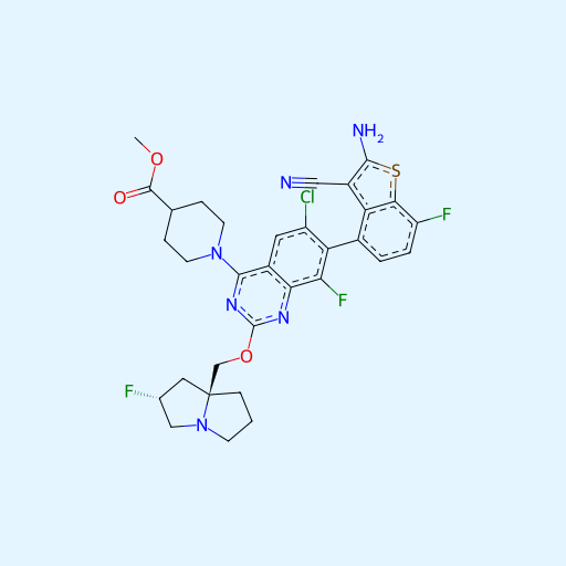 COC(=O)C1CCN(c2nc(OC[C@@]34CCCN3C[C@H](F)C4)nc3c(F)c(-c4ccc(F)c5sc(N)c(C#N)c45)c(Cl)cc23)CC1